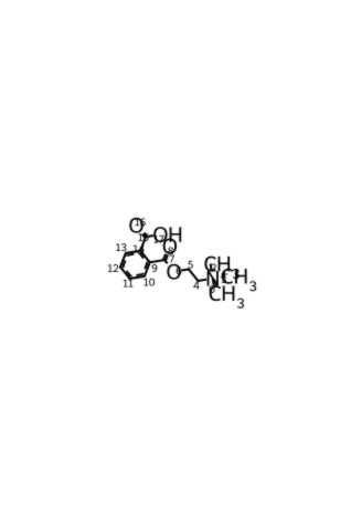 C[N+](C)(C)CCOC(=O)c1ccccc1C(=O)O